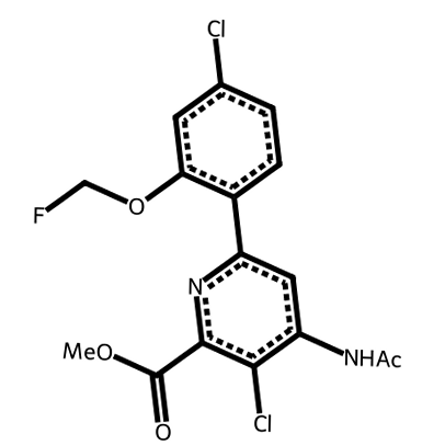 COC(=O)c1nc(-c2ccc(Cl)cc2OCF)cc(NC(C)=O)c1Cl